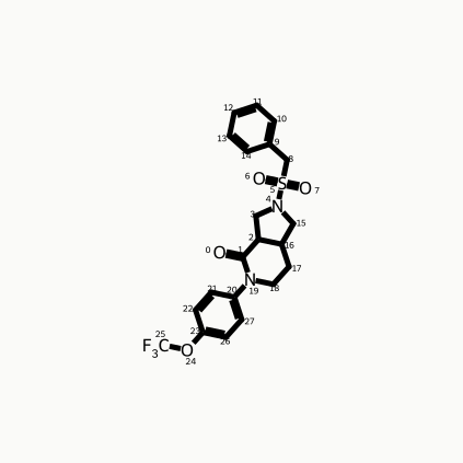 O=C1C2CN(S(=O)(=O)Cc3ccccc3)CC2CCN1c1ccc(OC(F)(F)F)cc1